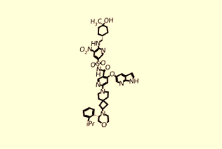 CC(C)c1ccccc1[C@H]1COCCN1C1CC2(CCN(c3cc(Oc4cnc5[nH]ccc5c4)c(C(=O)NS(=O)(=O)c4cnc(NC[C@H]5CC[C@](C)(O)CC5)c([N+](=O)[O-])c4)cn3)CC2)C1